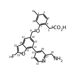 Cc1ccc(CC(=O)O)c(OCc2cc(-c3ccnc(CN)c3)c3oc(F)cc3c2)c1